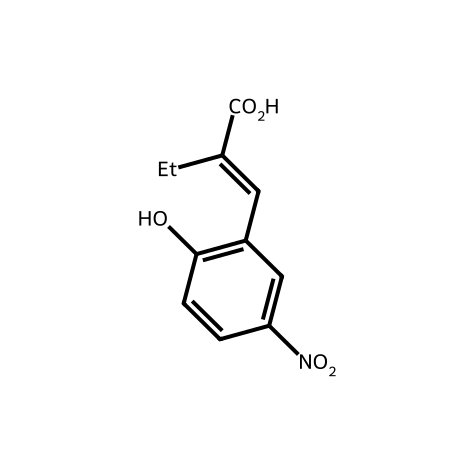 CC/C(=C\c1cc([N+](=O)[O-])ccc1O)C(=O)O